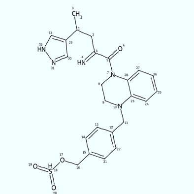 CC(CC(=N)C(=O)N1CCN(Cc2ccc(CO[SH](=O)=O)cc2)c2ccccc21)c1cn[nH]c1